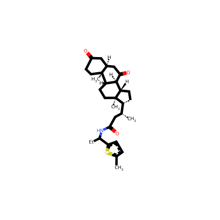 CCC(NC(=O)C[C@@H](C)[C@H]1CC[C@H]2[C@@H]3C(=O)C[C@@H]4CC(=O)CC[C@]4(C)[C@H]3CC[C@]12C)c1ccc(C)s1